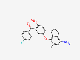 Cc1cc(N)c2c(c1Oc1ccc(O)c(C(=O)c3ccc(F)cc3)c1)CCC2